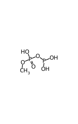 COP(=O)(O)OP(O)O